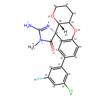 CN1C(=O)[C@]2(N=C1N)c1cc(-c3cc(F)cc(Cl)c3)ccc1OC1CCCO[C@H]12